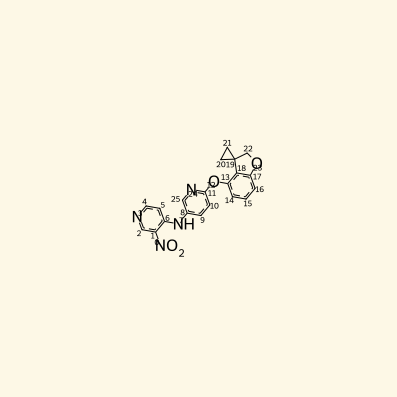 O=[N+]([O-])c1cnccc1Nc1ccc(Oc2cccc3c2C2(CC2)CO3)nc1